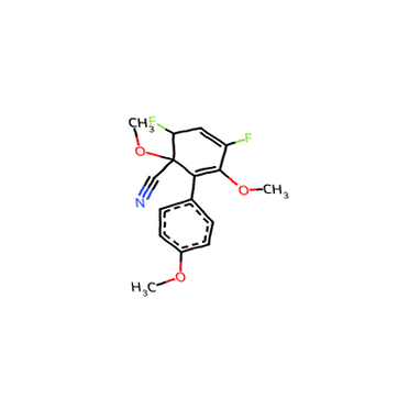 COC1=C(c2ccc(OC)cc2)C(C#N)(OC)C(F)C=C1F